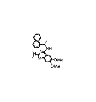 COc1cc2nc(N(C)C)nc(N[C@H](C)c3cccc4ccccc34)c2cc1OC